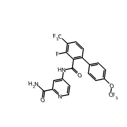 NC(=O)c1cc(NC(=O)c2c(-c3ccc(OC(F)(F)F)cc3)ccc(C(F)(F)F)c2F)ccn1